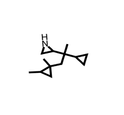 CC1CC1(C)CC(C)(C1CC1)C1CN1